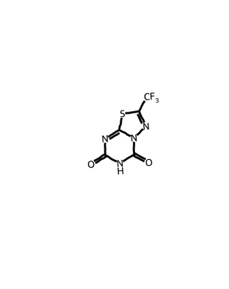 O=c1nc2sc(C(F)(F)F)nn2c(=O)[nH]1